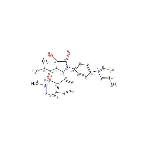 CCN(C)C(=O)c1ccccc1C1C(C(=O)C(C)C)=C(O)C(=O)N1c1ccc(-c2csc(C)c2)cc1